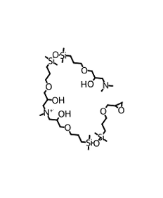 CN(C)CC(O)COCCC[Si](C)(C)O[Si](C)(C)CCCOCC(O)C[N+](C)(C)CC(O)COCCC[Si](C)(C)O[Si](C)(C)CCCOCC1CO1